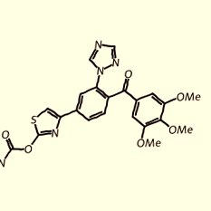 CNC(=O)Oc1nc(-c2ccc(C(=O)c3cc(OC)c(OC)c(OC)c3)c(-n3cncn3)c2)cs1